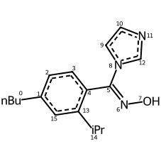 CCCCc1ccc(C(=NO)n2ccnc2)c(C(C)C)c1